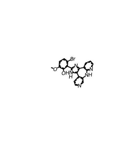 COc1ccc(Br)c(-c2nc3c([nH]2)-c2ccncc2Nc2ncccc2-3)c1O